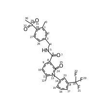 Cc1cc(CNC(=O)c2ccc(C)n(-c3cccc(C(F)(F)F)c3)c2=O)ccc1S(C)(=O)=O